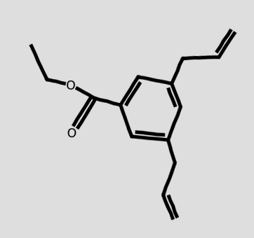 C=CCc1cc(CC=C)cc(C(=O)OCC)c1